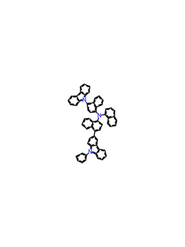 c1ccc(-n2c3ccccc3c3cc(-c4ccc(N(c5cccc6ccccc56)c5ccc(-n6c7ccccc7c7ccccc76)c6ccccc56)c5ccccc45)ccc32)cc1